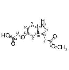 COC(=O)Cc1c[nH]c2ccc(OCC(=O)O)cc12